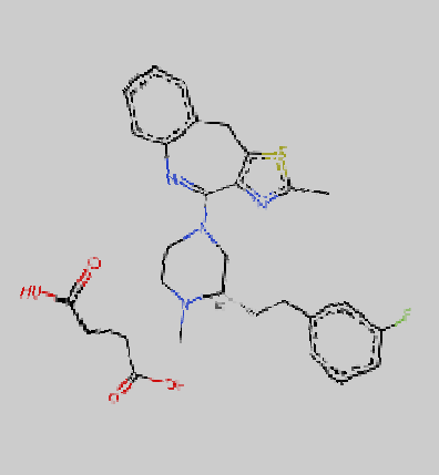 Cc1nc2c(s1)Cc1ccccc1N=C2N1CCN(C)[C@@H](CCc2cccc(F)c2)C1.O=C(O)CCC(=O)O